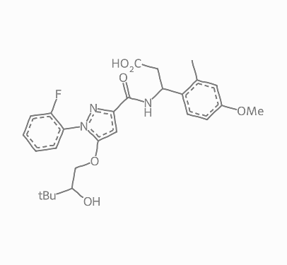 COc1ccc(C(CC(=O)O)NC(=O)c2cc(OCC(O)C(C)(C)C)n(-c3ccccc3F)n2)c(C)c1